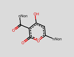 CCCCCCCCCC(=O)c1c(O)cc(CCCCCCCCC)oc1=O